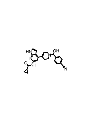 N#Cc1ccc(C(O)N2CC=C(c3cc(NC(=O)C4CC4)nc4[nH]ccc34)CC2)cc1